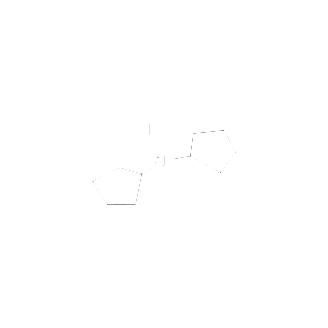 C1CC[CH]([Al+][CH]2CCCC2)C1.[Cl-]